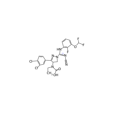 CCN(C(=O)O)C1CN(/C(=N\C#N)Nc2cccc(OC(F)F)c2F)N=C1c1ccc(Cl)c(Cl)c1